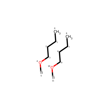 CCCC[O][Ti].CCCC[O][Ti]